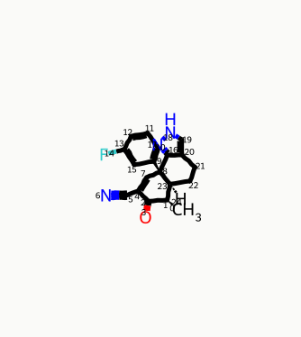 C[C@@H]1C(=O)C(C#N)=C[C@]2(c3cccc(F)c3)c3n[nH]cc3CC[C@@H]12